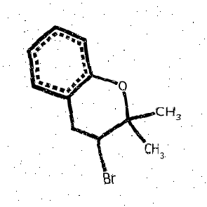 CC1(C)Oc2ccccc2CC1Br